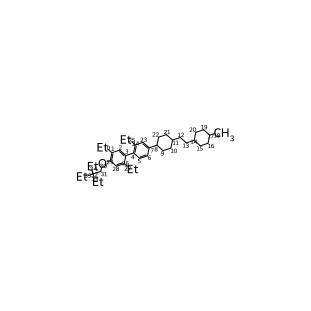 CCc1cc(-c2ccc(C3CCC(CCC4CCC(C)CC4)CC3)cc2CC)c(CC)cc1OCC(CC)(CC)CC